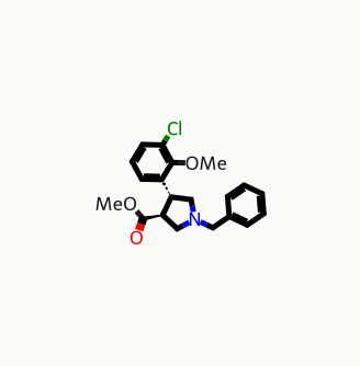 COC(=O)[C@@H]1CN(Cc2ccccc2)C[C@H]1c1cccc(Cl)c1OC